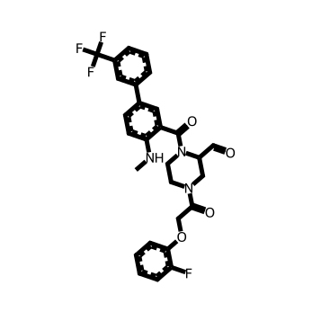 CNc1ccc(-c2cccc(C(F)(F)F)c2)cc1C(=O)N1CCN(C(=O)COc2ccccc2F)CC1C=O